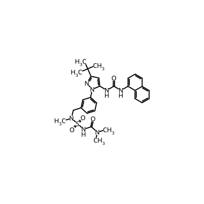 CN(C)C(=O)NS(=O)(=O)N(C)Cc1cccc(-n2nc(C(C)(C)C)cc2NC(=O)Nc2cccc3ccccc23)c1